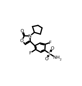 NS(=O)(=O)c1cc(F)c(-c2coc(=O)n2C2CCCC2)cc1F